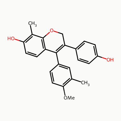 COc1ccc(C2=C(c3ccc(O)cc3)COc3c2ccc(O)c3C)cc1C